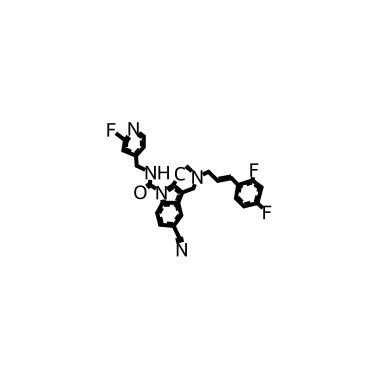 N#Cc1ccc2c(c1)c1c(n2C(=O)NCc2ccnc(F)c2)CCN(CC=Cc2ccc(F)cc2F)C1